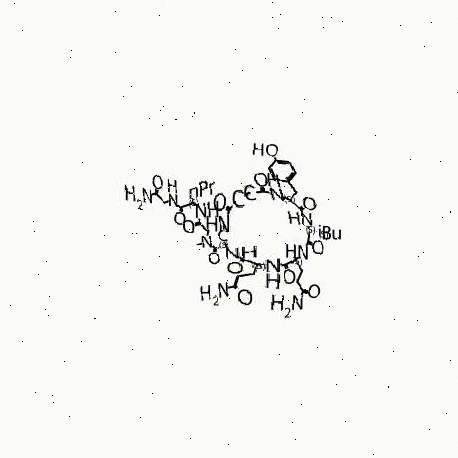 CCC[C@H](NC(=O)CN(C)C(=O)[C@@H]1CNC(=O)CCC(=O)N[C@@H](Cc2ccc(O)cc2)C(=O)N[C@@H]([C@@H](C)CC)C(=O)N[C@@H](CCC(N)=O)C(=O)N[C@@H](CCC(N)=O)C(=O)N1)C(=O)NCC(N)=O